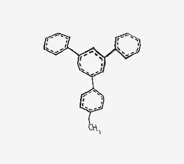 Cc1ccc(-c2cc(-c3ccccc3)cc(-c3ccccc3)c2)cc1